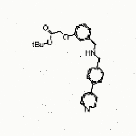 CC(C)(C)OC(=O)COc1cccc(CNCc2ccc(-c3ccncc3)cc2)c1